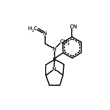 C=NCN(C)N1CC2CCC(C1)N2Cc1cccc(C#N)c1